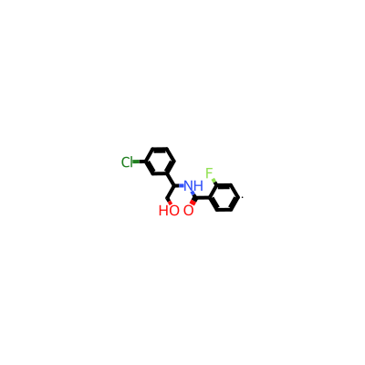 O=C(NC(CO)c1cccc(Cl)c1)c1cc[c]cc1F